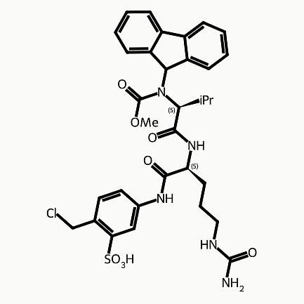 COC(=O)N(C1c2ccccc2-c2ccccc21)[C@H](C(=O)N[C@@H](CCCNC(N)=O)C(=O)Nc1ccc(CCl)c(S(=O)(=O)O)c1)C(C)C